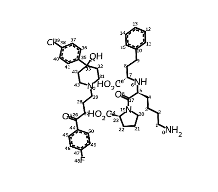 NCCCC[C@H](N[C@@H](CCc1ccccc1)C(=O)O)C(=O)N1CCC[C@H]1C(=O)O.O=C(CCCN1CCC(O)(c2ccc(Cl)cc2)CC1)c1ccc(F)cc1